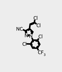 N#Cc1nn(-c2c(Cl)cc(C(F)(F)F)cc2Cl)cc1C=C(Cl)Cl